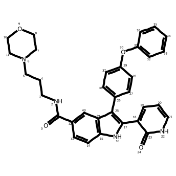 O=C(NCCCN1CCOCC1)c1ccc2[nH]c(-c3ccc[nH]c3=O)c(-c3ccc(Oc4ccccc4)cc3)c2c1